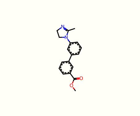 COC(=O)c1cccc(-c2cccc(N3CCN=C3C)c2)c1